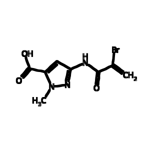 C=C(Br)C(=O)Nc1cc(C(=O)O)n(C)n1